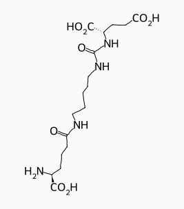 N[C@@H](CCCC(=O)NCCCCCNC(=O)N[C@@H](CCC(=O)O)C(=O)O)C(=O)O